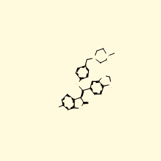 CCOC(=O)c1ccc2c(c1)NC(=O)C2=C(Nc1ccc(CN2CCN(C)CC2)cc1)c1ccc2c(c1)OCO2